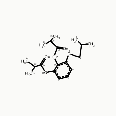 CC(C)COc1cccc(OC(=O)C(C)C)c1OC(=O)C(C)C